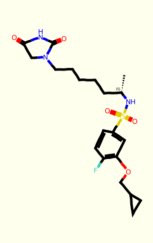 C[C@@H](CCCCCN1CC(=O)NC1=O)NS(=O)(=O)c1ccc(F)c(OCC2CC2)c1